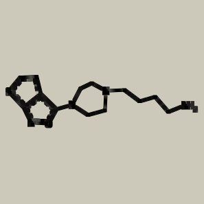 NCCCCN1CCN(c2onc3sccc23)CC1